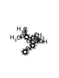 CCOc1ccc(C(CC(C)C)NC(=O)c2cc(COc3ccccc3)ccc2CCC(=O)O)cc1OCC